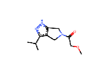 COCC(=O)N1Cc2[nH]nc(C(C)C)c2C1